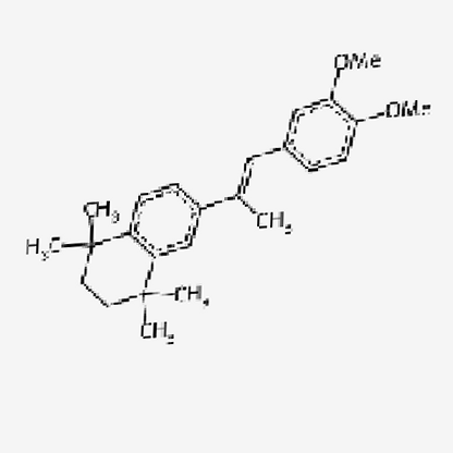 COc1ccc(/C=C(\C)c2ccc3c(c2)C(C)(C)CCC3(C)C)cc1OC